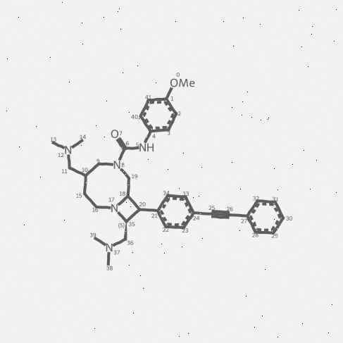 COc1ccc(NC(=O)N2CC(CN(C)C)CCN3C(C2)C(c2ccc(C#Cc4ccccc4)cc2)[C@H]3CN(C)C)cc1